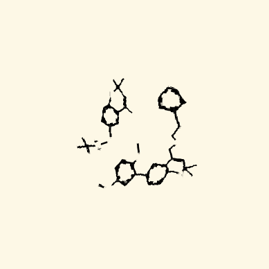 CC1=CC(C)(C)Nc2ccc(OS(=O)(=O)C(F)(F)F)cc21.COc1ccc(OC)c(-c2ccc3c(c2)C(CSCCc2ccccc2)=CC(C)(C)N3)c1